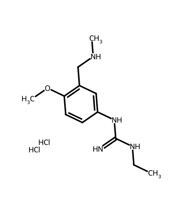 CCNC(=N)Nc1ccc(OC)c(CNC)c1.Cl.Cl